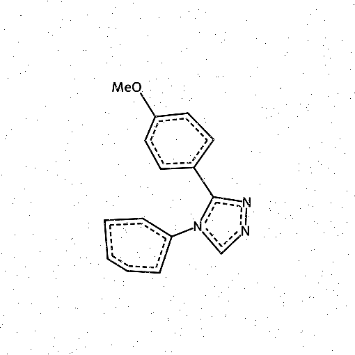 COc1ccc(-c2nncn2-c2ccccc2)cc1